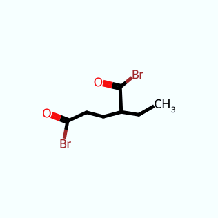 CCC(CCC(=O)Br)C(=O)Br